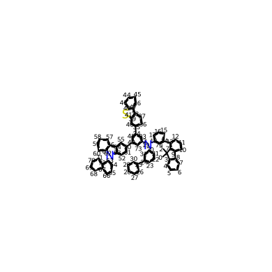 CC1(C)c2ccccc2-c2cccc(-c3cccc(N(c4cccc(-c5ccccc5)c4)c4cc(-c5ccc6c(c5)sc5ccccc56)cc(-c5ccc6c(c5)c5ccccc5n6-c5cccc6ccccc56)c4)c3)c21